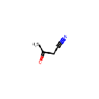 N#CCC(=O)[SiH3]